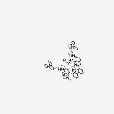 COc1nc(-c2cccc(-c3cccc(-c4cc5c(c(OC)n4)[C@@H](NCC[C@@H]4CCC(=O)N4)CC5)c3Cl)c2Cl)cc2c1C(NC[C@@H]1CCC(=O)N1)CC2